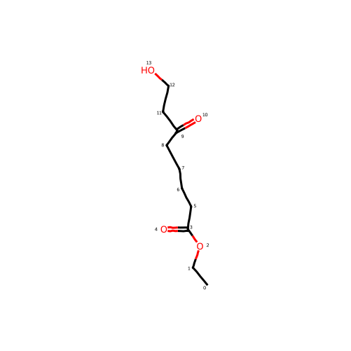 CCOC(=O)CCCCC(=O)CCO